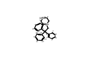 c1ccc(C(CN2CCNCC2)(c2ccccc2)c2ccccc2)cc1